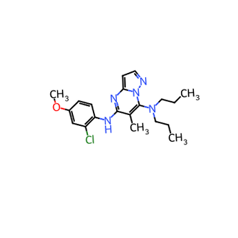 CCCN(CCC)c1c(C)c(Nc2ccc(OC)cc2Cl)nc2ccnn12